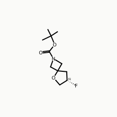 CC(C)(C)OC(=O)N1CC2(C[C@H](F)CO2)C1